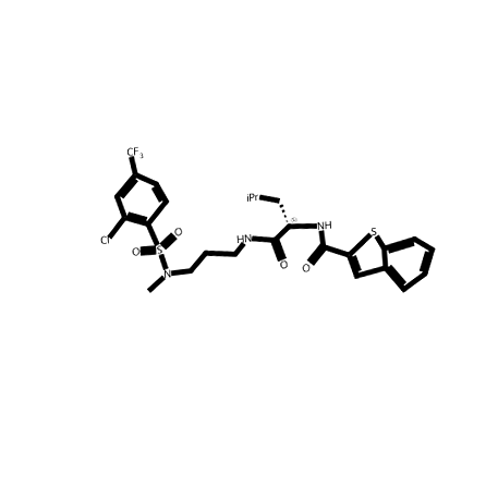 CC(C)C[C@H](NC(=O)c1cc2ccccc2s1)C(=O)NCCCN(C)S(=O)(=O)c1ccc(C(F)(F)F)cc1Cl